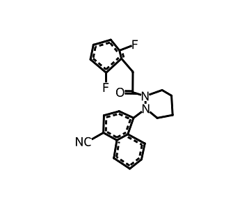 N#Cc1ccc(N2CCCCN2C(=O)Cc2c(F)cccc2F)c2ccccc12